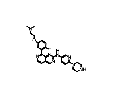 CN(C)CCOc1ccc(F)c(-c2nccc3cnc(Nc4ccc(N5CCNCC5)nc4)nc23)c1